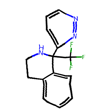 FC(F)(F)C1(c2cccnn2)NCCc2ccccc21